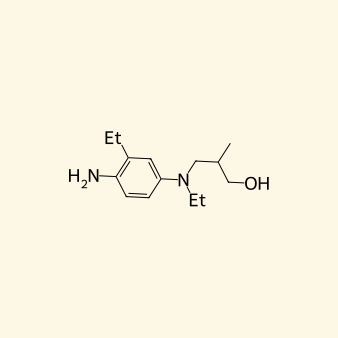 CCc1cc(N(CC)CC(C)CO)ccc1N